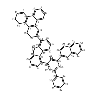 C1=Cc2c(c3c(c4ccccc24)C=C(c2cccc4c2oc2cccc(-c5nc(-c6ccccc6)nc(-c6ccc7ccccc7c6)n5)c24)CC3)CC1